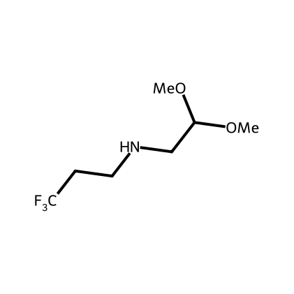 COC(CNCCC(F)(F)F)OC